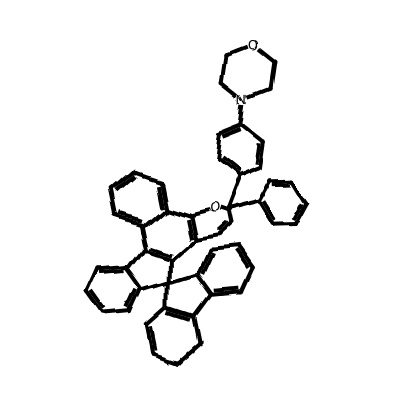 C1=CC2=C(CC1)c1ccccc1C21c2ccccc2-c2c1c1c(c3ccccc23)OC(c2ccccc2)(c2ccc(N3CCOCC3)cc2)C=C1